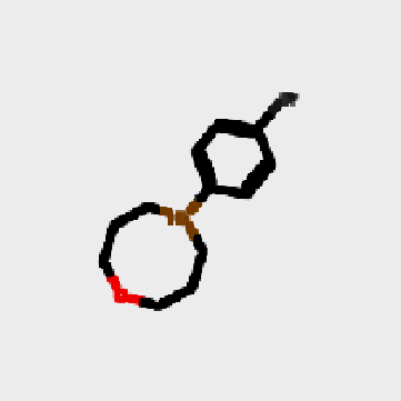 CC(C)c1ccc([SH]2CCCOCCC2)cc1